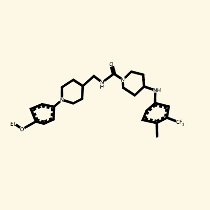 CCOc1ccc(N2CCC(CNC(=O)N3CCC(Nc4ccc(C)c(C(F)(F)F)c4)CC3)CC2)cc1